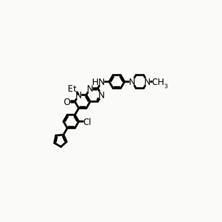 CCn1c(=O)c(-c2ccc(C3=CCC=C3)cc2Cl)cc2cnc(Nc3ccc(N4CCN(C)CC4)cc3)nc21